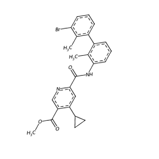 COC(=O)c1cnc(C(=O)Nc2cccc(-c3cccc(Br)c3C)c2C)cc1C1CC1